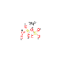 O=S(=O)([O-])OS(=O)(=O)O[O-].[Mg+2]